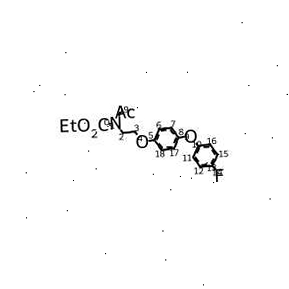 CCOC(=O)N(CCOc1ccc(Oc2ccc(F)cc2)cc1)C(C)=O